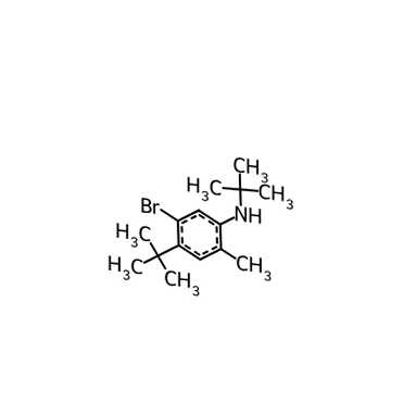 Cc1cc(C(C)(C)C)c(Br)cc1NC(C)(C)C